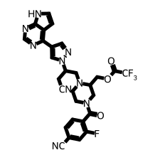 N#CCC(CN1CCN(C(=O)c2ccc(C#N)cc2F)CC1COC(=O)C(F)(F)F)n1cc(-c2ncnc3[nH]ccc23)cn1